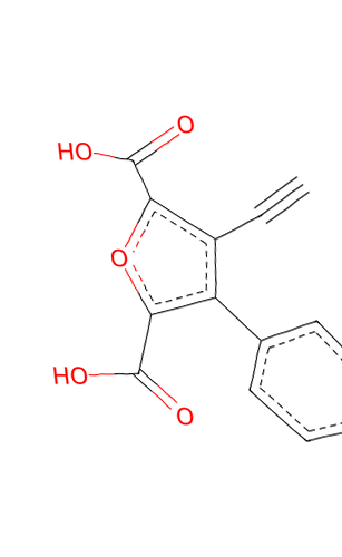 C#Cc1c(C(=O)O)oc(C(=O)O)c1-c1ccccc1